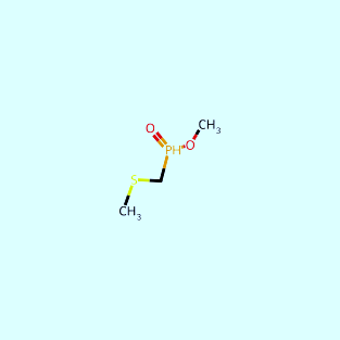 CO[PH](=O)CSC